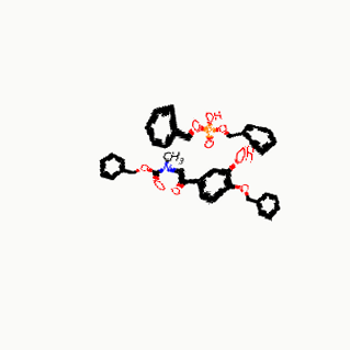 CN(CC(=O)c1ccc(OCc2ccccc2)c(O)c1)C(=O)OCc1ccccc1.O=P(O)(OCc1ccccc1)OCc1ccccc1